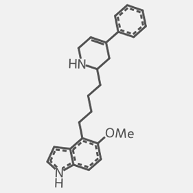 COc1ccc2[nH]ccc2c1CCCCC1CC(c2ccccc2)=CCN1